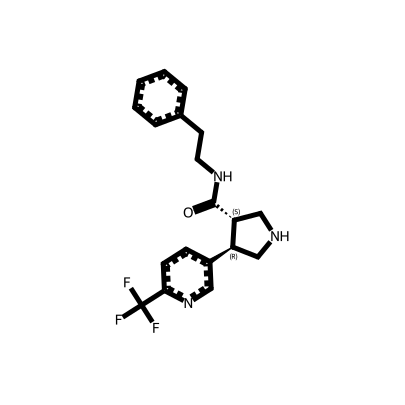 O=C(NCCc1ccccc1)[C@@H]1CNC[C@H]1c1ccc(C(F)(F)F)nc1